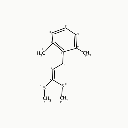 CSC(=CCc1c(C)cccc1C)SC